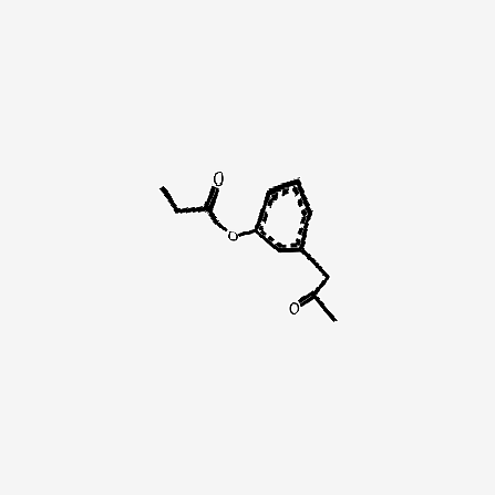 CCC(=O)Oc1cccc(CC(C)=O)c1